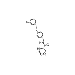 COCC(NC(C)=O)C(=O)NCc1ccc(CCc2cccc(F)c2)cc1